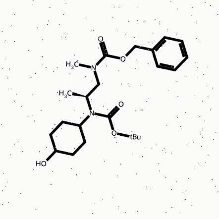 C[C@@H](CN(C)C(=O)OCc1ccccc1)N(C(=O)OC(C)(C)C)C1CCC(O)CC1